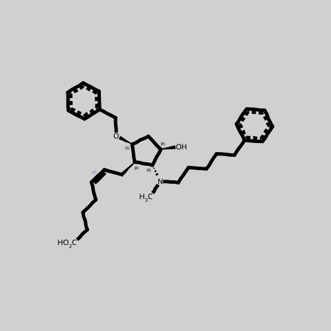 CN(CCCCCc1ccccc1)[C@@H]1[C@@H](C/C=C\CCCC(=O)O)[C@@H](OCc2ccccc2)C[C@H]1O